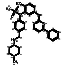 Cc1ccc(Nc2nccc(-c3cccnc3)n2)cc1N(c1ccc(CNN2CCN(C)CC2)cc1)S(C)(=O)=O